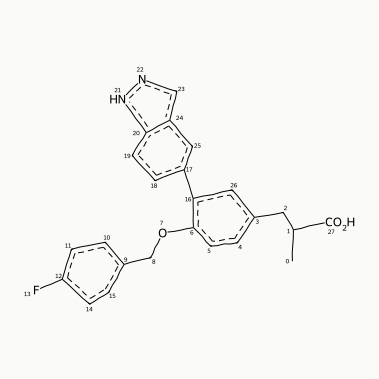 CC(Cc1ccc(OCc2ccc(F)cc2)c(-c2ccc3[nH]ncc3c2)c1)C(=O)O